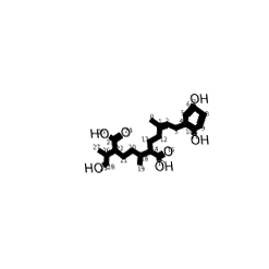 CC(=CCc1cc(O)ccc1O)CCC(C(=O)O)C(C)CCC(C(=O)O)C(C)CO